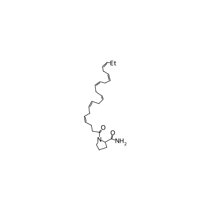 CC/C=C\C/C=C\C/C=C\C/C=C\C/C=C\C/C=C\CCC(=O)N1CCCC1C(N)=O